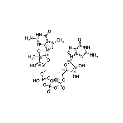 C[n+]1cn([C@@H]2O[C@H](COP(=O)(O)OP(=O)(O)OP(=O)(O)OC[C@H]3O[C@@H](n4cnc5c(=O)[nH]c(N)nc54)[C@H](O)[C@@H]3O)[C@@H](O)[C@@]2(C)O)c2nc(N)[nH]c(=O)c21